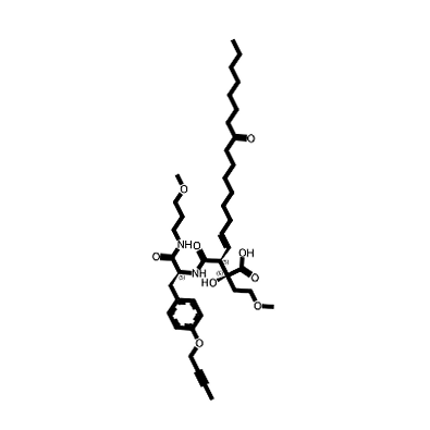 CC#CCOc1ccc(C[C@H](NC(=O)[C@@H](C=CCCCCCCC(=O)CCCCCCC)[C@@](O)(CCOC)C(=O)O)C(=O)NCCCOC)cc1